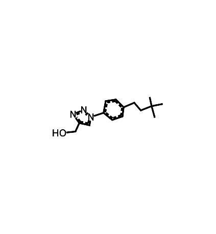 CC(C)(C)CCc1ccc(-n2cc(CO)nn2)cc1